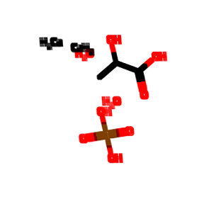 CC(O)C(=O)O.O.O.O=S(=O)(O)O.[CaH2].[CaH2]